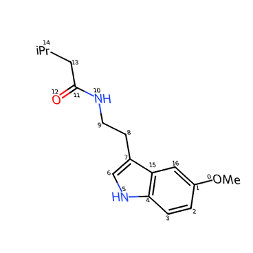 COc1ccc2[nH]cc(CCNC(=O)CC(C)C)c2c1